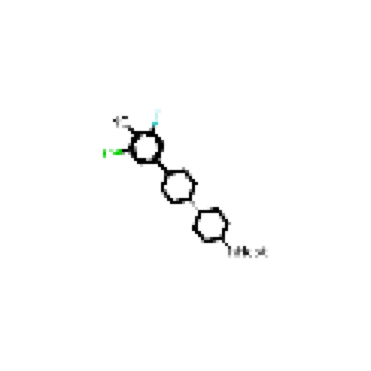 CCCCCCC[C@H]1CC[C@H](C2CCC(c3cc(F)c(C#N)c(Cl)c3)CC2)CC1